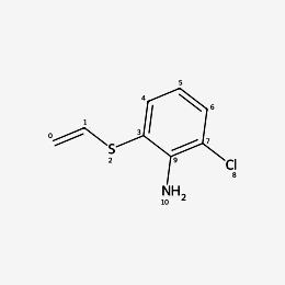 C=CSc1cccc(Cl)c1N